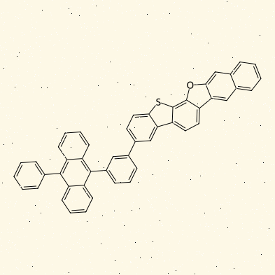 c1ccc(-c2c3ccccc3c(-c3cccc(-c4ccc5sc6c(ccc7c8cc9ccccc9cc8oc76)c5c4)c3)c3ccccc23)cc1